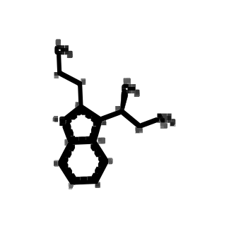 CCCc1sc2ccccc2c1[C@@H](C)CN